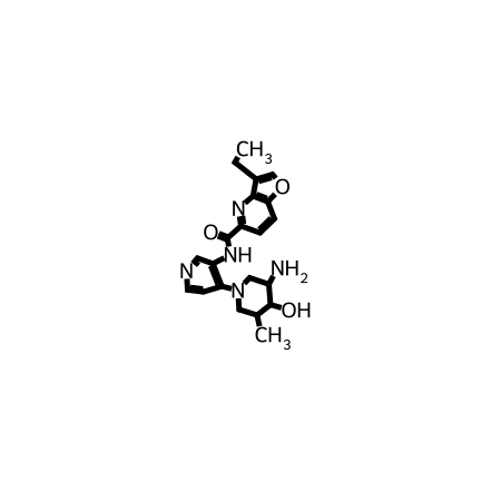 CCc1coc2ccc(C(=O)Nc3cnccc3N3CC(C)C(O)C(N)C3)nc12